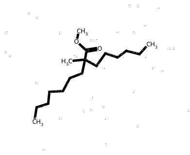 CCCCCCCC(C)(CCCCCC)C(=O)OC